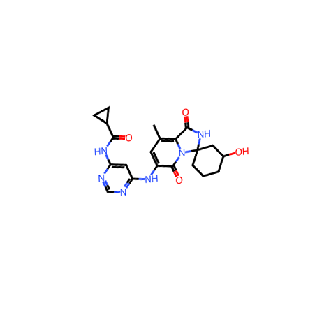 Cc1cc(Nc2cc(NC(=O)C3CC3)ncn2)c(=O)n2c1C(=O)NC21CCCC(O)C1